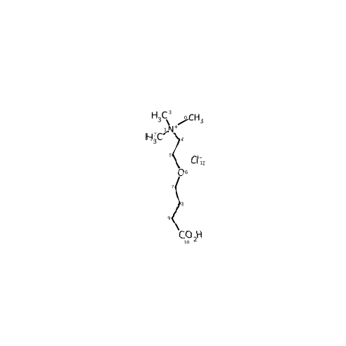 C[N+](C)(C)CCOCCCC(=O)O.[Cl-]